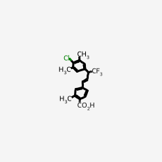 Cc1cc(/C=C/C(c2cc(C)c(Cl)c(C)c2)C(F)(F)F)ccc1C(=O)O